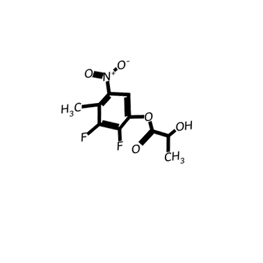 Cc1c([N+](=O)[O-])cc(OC(=O)C(C)O)c(F)c1F